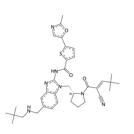 Cc1ncc(-c2ccc(C(=O)Nc3nc4cc(CNCC(C)(C)C)ccc4n3C[C@H]3CCCN3C(=O)C(C#N)=CC(C)(C)C)s2)o1